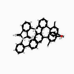 Cc1cc(C#N)ccc1-c1cccc2c1c1c(-c3ccc(C#N)cc3C)cccc1n2-c1cccc2c1C(=O)N(c1ccccc1-c1ccccc1)C2=O